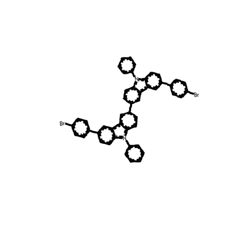 Brc1ccc(-c2ccc3c(c2)c2cc(-c4ccc5c(c4)c4cc(-c6ccc(Br)cc6)ccc4n5-c4ccccc4)ccc2n3-c2ccccc2)cc1